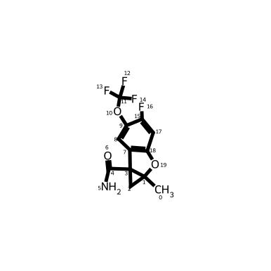 CC12CC1(C(N)=O)c1cc(OC(F)(F)F)c(F)cc1O2